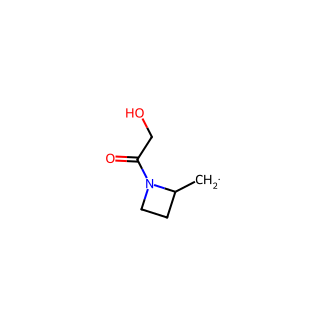 [CH2]C1CCN1C(=O)CO